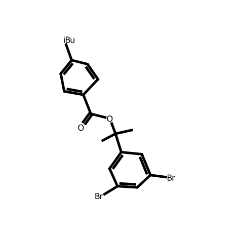 CCC(C)c1ccc(C(=O)OC(C)(C)c2cc(Br)cc(Br)c2)cc1